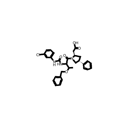 CC(OCc1ccccc1)C(NC(=O)Nc1cccc(Cl)c1)C(=O)N1C[C@@H](c2ccccc2)C[C@@H]1CC(=O)O